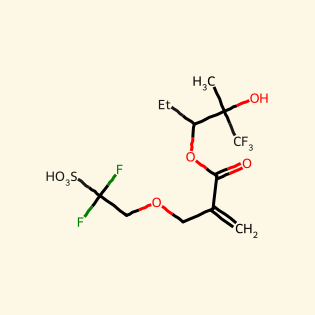 C=C(COCC(F)(F)S(=O)(=O)O)C(=O)OC(CC)C(C)(O)C(F)(F)F